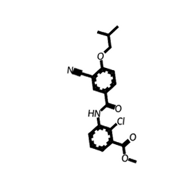 COC(=O)c1cccc(NC(=O)c2ccc(OCC(C)C)c(C#N)c2)c1Cl